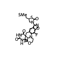 CSCC1CN(c2noc3c(F)c4c(cc23)CC2(C(=O)NC(=O)NC2=O)C2[C@H](C)OCCN42)C(=O)S1